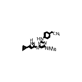 CNc1cc(Nc2cc(C3CC3)[nH]n2)nc(Nc2ccc(CC#N)cc2)n1